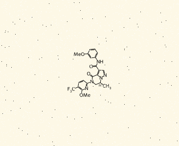 COc1cccc(NC(=O)c2cnn3c2C(=O)N(c2ccc(C(F)(F)F)c(OC)n2)C[C@@H]3C)c1